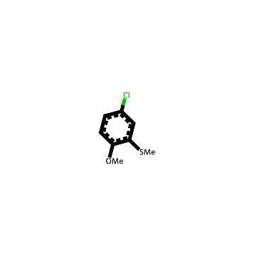 COc1ccc(Cl)cc1SC